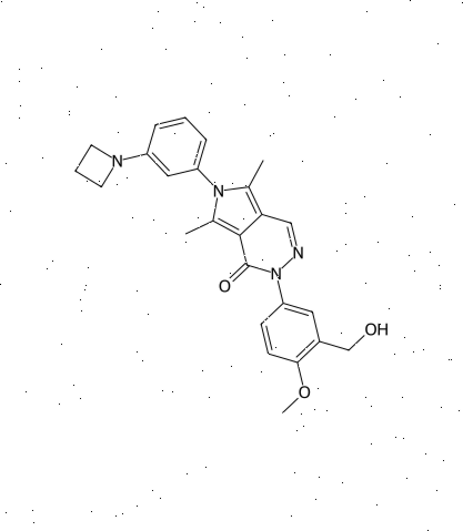 COc1ccc(-n2ncc3c(C)n(-c4cccc(N5CCC5)c4)c(C)c3c2=O)cc1CO